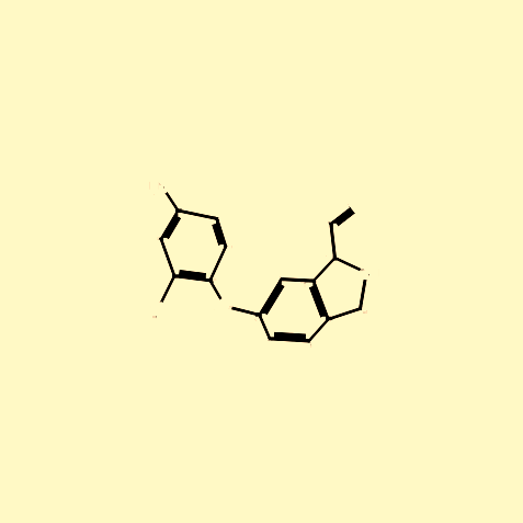 Nc1ccc(Oc2ccc3c(c2)C(C=O)NC3)c(Cl)c1